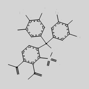 CC(=O)c1ccc2c(c1C(C)=O)S(=O)(=O)OC2(c1cc(Br)c(O)c(Br)c1)c1cc(Br)c(O)c(Br)c1